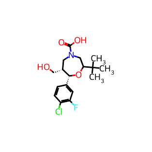 CC(C)(C)C1CN(C(=O)O)C[C@@H](CO)[C@@H](c2ccc(Cl)c(F)c2)O1